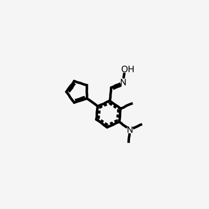 Cc1c(N(C)C)ccc(C2=CC=CC2)c1C=NO